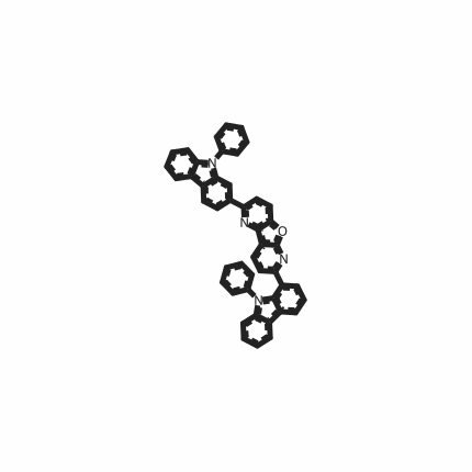 c1ccc(-n2c3ccccc3c3ccc(-c4ccc5oc6nc(-c7cccc8c9ccccc9n(-c9ccccc9)c78)ccc6c5n4)cc32)cc1